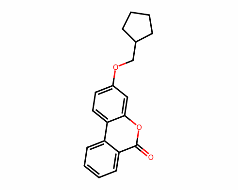 O=c1oc2cc(OCC3CCCC3)ccc2c2ccccc12